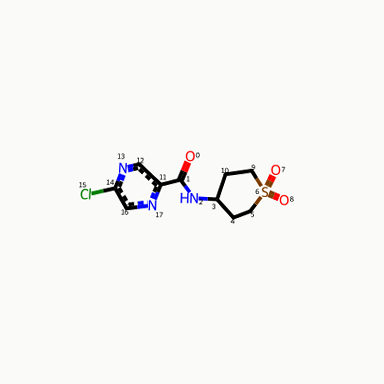 O=C(NC1CCS(=O)(=O)CC1)c1cnc(Cl)cn1